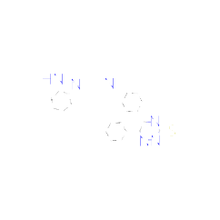 CSc1nnc(-c2ccccc2)c(-c2ccc(CN3CCC(N4CNc5ccccc54)CC3)cc2)n1